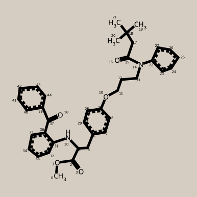 COC(=O)C(Cc1ccc(OCCCN(C(=O)CC(C)(C)C)c2ccccc2)cc1)Nc1ccccc1C(=O)c1ccccc1